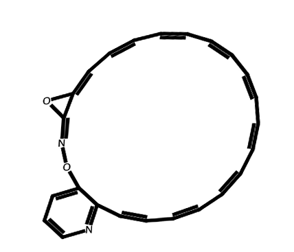 c1ccccccccc2oc-2noc2cccnc2cccccccc1